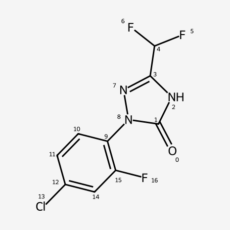 O=c1[nH]c(C(F)F)nn1-c1ccc(Cl)cc1F